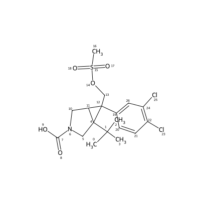 CC(C)(C)C12CN(C(=O)O)CC1C2(COS(C)(=O)=O)c1ccc(Cl)c(Cl)c1